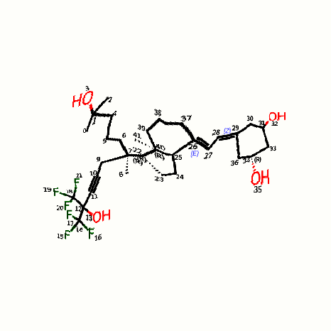 CC(C)(O)CCC[C@](C)(CC#CC(O)(C(F)(F)F)C(F)(F)F)[C@H]1CCC2/C(=C/C=C3/CC(O)C[C@H](O)C3)CCC[C@@]21C